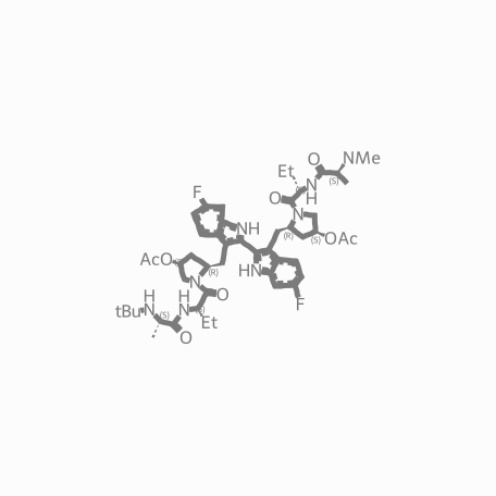 CC[C@H](NC(=O)[C@H](C)NC)C(=O)N1C[C@@H](OC(C)=O)C[C@H]1Cc1c(-c2[nH]c3cc(F)ccc3c2C[C@@H]2C[C@H](OC(C)=O)CN2C(=O)[C@H](CC)NC(=O)[C@H](C)NC(C)(C)C)[nH]c2cc(F)ccc12